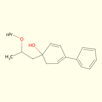 CCCOC(C)CC1(O)C=CC(c2ccccc2)=CC1